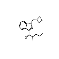 CCCC(C)C(=O)c1nn(CC2COC2)c2ccccc12